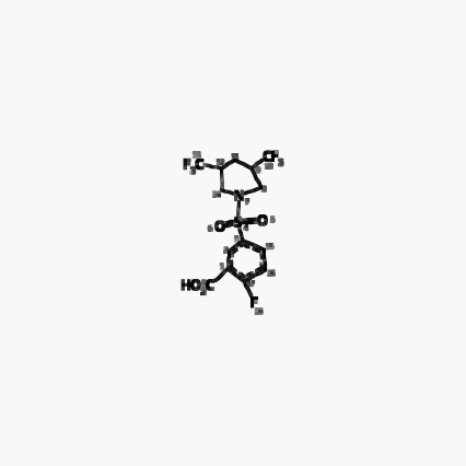 O=C(O)c1cc(S(=O)(=O)N2CC(C(F)(F)F)CC(C(F)(F)F)C2)ccc1F